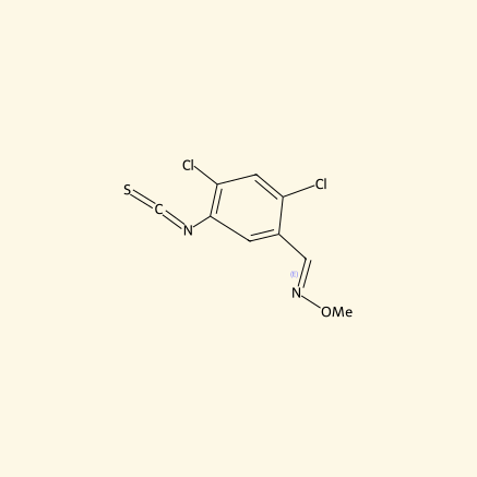 CO/N=C/c1cc(N=C=S)c(Cl)cc1Cl